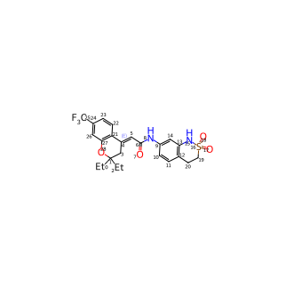 CCC1(CC)C/C(=C\C(=O)Nc2ccc3c(c2)NS(=O)(=O)CC3)c2ccc(C(F)(F)F)cc2O1